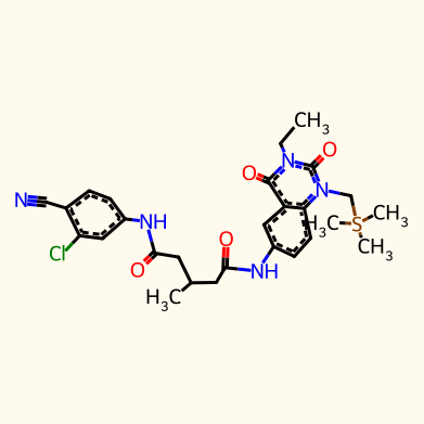 CCn1c(=O)c2cc(NC(=O)CC(C)CC(=O)Nc3ccc(C#N)c(Cl)c3)ccc2n(CS(C)(C)C)c1=O